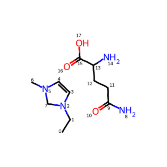 CCN1C=CN(C)C1.NC(=O)CCC(N)C(=O)O